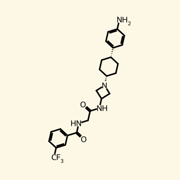 Nc1ccc([C@H]2CC[C@@H](N3CC(NC(=O)CNC(=O)c4cccc(C(F)(F)F)c4)C3)CC2)cc1